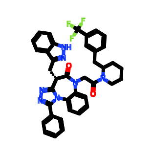 O=C1[C@@H](Cc2n[nH]c3ccccc23)c2nnc(-c3ccccc3)n2-c2ccccc2N1CC(=O)N1CCCCC1Cc1cccc(C(F)(F)F)c1